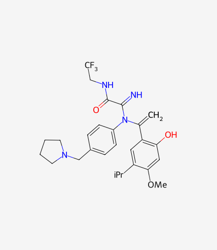 C=C(c1cc(C(C)C)c(OC)cc1O)N(C(=N)C(=O)NCC(F)(F)F)c1ccc(CN2CCCC2)cc1